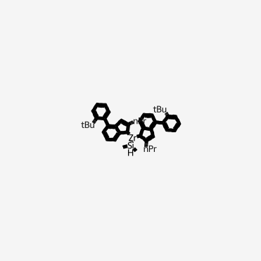 CCCC1=Cc2c(-c3ccccc3C(C)(C)C)cccc2[CH]1[Zr]([CH]1C(CCC)=Cc2c(-c3ccccc3C(C)(C)C)cccc21)[SiH](C)C